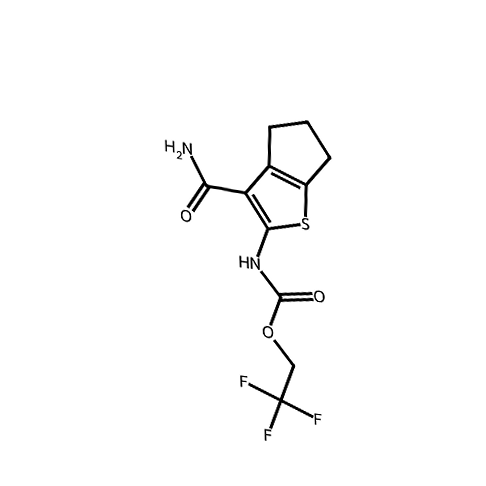 NC(=O)c1c(NC(=O)OCC(F)(F)F)sc2c1CCC2